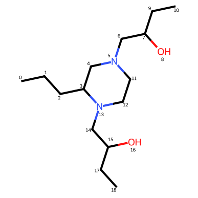 CCCC1CN(CC(O)CC)CCN1CC(O)CC